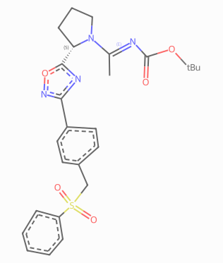 C/C(=N\C(=O)OC(C)(C)C)N1CCC[C@H]1c1nc(-c2ccc(CS(=O)(=O)c3ccccc3)cc2)no1